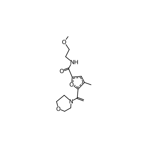 C=C(c1oc(C(=O)NCCOC)cc1C)N1CCOCC1